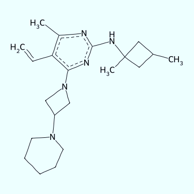 C=Cc1c(C)nc(NC2(C)CC(C)C2)nc1N1CC(N2CCCCC2)C1